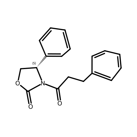 O=C(CCc1ccccc1)N1C(=O)OC[C@@H]1c1ccccc1